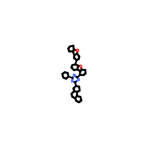 c1ccc(-c2nc(-c3ccc4c(ccc5ccccc54)c3)nc(-c3cccc4oc5c(-c6ccc7oc8ccccc8c7c6)cccc5c34)n2)cc1